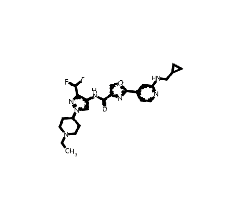 CCN1CCC(n2cc(NC(=O)c3coc(-c4ccnc(NCC5CC5)c4)n3)c(C(F)F)n2)CC1